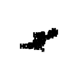 NC(C(=O)NC1C(=O)N2C(C(=O)O)=C(CSc3ccc4nnnn4n3)CS[C@@H]12)c1ccc(O)cc1